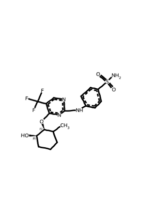 CC1CCC[C@@H](O)[C@H]1Oc1nc(Nc2ccc(S(N)(=O)=O)cc2)ncc1C(F)(F)F